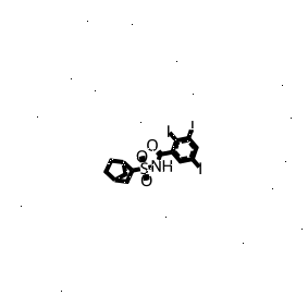 O=C(NS(=O)(=O)C1CC2CCC1C2)c1cc(I)cc(I)c1I